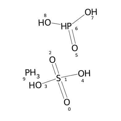 O=S(=O)(O)O.O=[PH](O)O.P